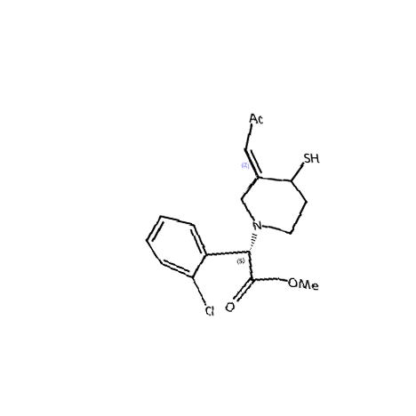 COC(=O)[C@H](c1ccccc1Cl)N1CCC(S)/C(=C\C(C)=O)C1